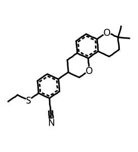 CCSc1ccc(C2COc3c(ccc4c3CCC(C)(C)O4)C2)cc1C#N